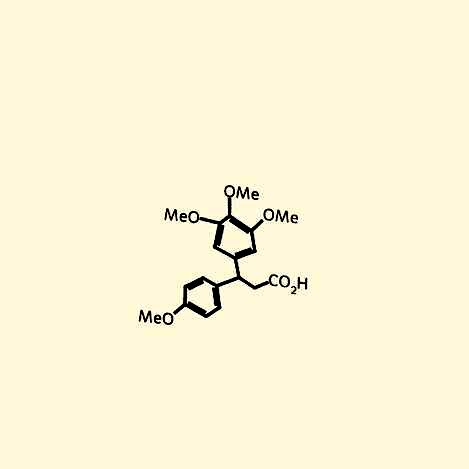 COc1ccc(C(CC(=O)O)c2cc(OC)c(OC)c(OC)c2)cc1